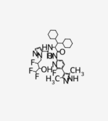 Cc1n[nH]c(C)c1-c1ccc(NC(=O)[C@@H](NC(=O)c2ccnn2CC(F)C(O)C(F)F)C(C2CCCCC2)C2CCCCC2)nc1F